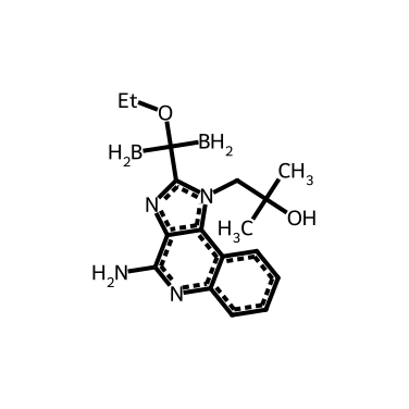 BC(B)(OCC)c1nc2c(N)nc3ccccc3c2n1CC(C)(C)O